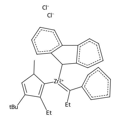 CCC1=[C](/[Zr+2](=[C](\CC)c2ccccc2)[CH]2c3ccccc3-c3ccccc32)C(C)C=C1C(C)(C)C.[Cl-].[Cl-]